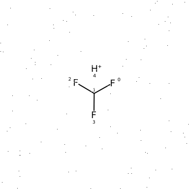 FC(F)F.[H+]